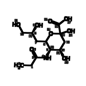 CCC(=O)N[C@H]1C(C[C@H](O)CO)OC(O)(C(=O)O)C[C@H]1O